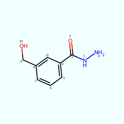 NNC(=O)c1cccc(CO)c1